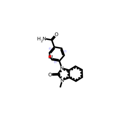 C\C=C(/C=C\C(=C/CC)C(N)=O)n1c(=O)n(C)c2ccccc21